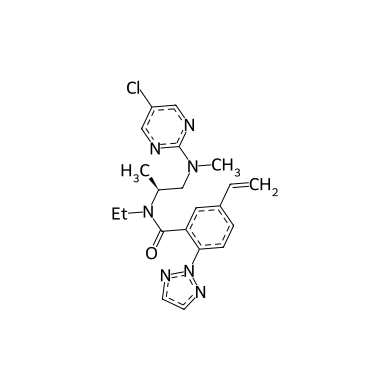 C=Cc1ccc(-n2nccn2)c(C(=O)N(CC)[C@@H](C)CN(C)c2ncc(Cl)cn2)c1